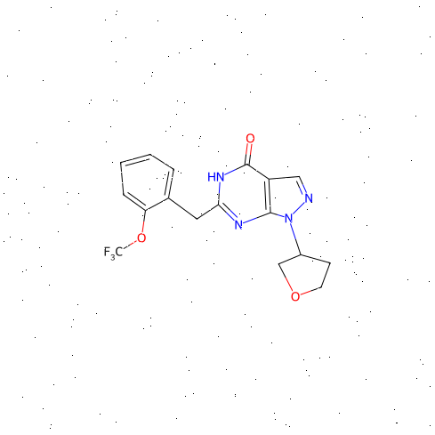 O=c1[nH]c(Cc2ccccc2OC(F)(F)F)nc2c1cnn2C1CCOC1